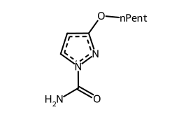 CCCCCOc1ccn(C(N)=O)n1